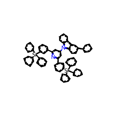 c1ccc(-c2ccc3c(c2)c2ccccc2n3-c2cc(-c3cccc([Si](c4ccccc4)(c4ccccc4)c4ccccc4)c3)nc(-c3cccc([Si](c4ccccc4)(c4ccccc4)c4ccccc4)c3)c2)cc1